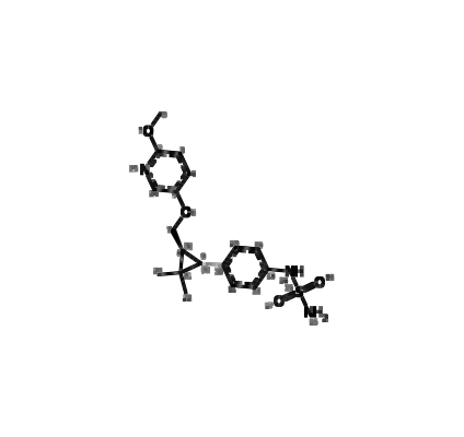 COc1ccc(OC[C@H]2[C@H](c3ccc(NS(N)(=O)=O)cc3)C2(C)C)cn1